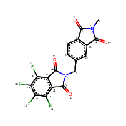 CN1C(=O)c2ccc(CN3C(=O)c4c(F)c(F)c(F)c(F)c4C3=O)cc2C1=O